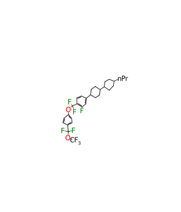 CCCC1CCC(C2CCC(c3ccc(C(F)(F)Oc4ccc(C(F)(F)OC(F)(F)F)cc4)c(F)c3)CC2)CC1